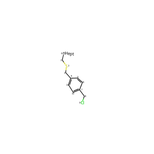 CCCCCCCCSCc1ccc(CCl)cc1